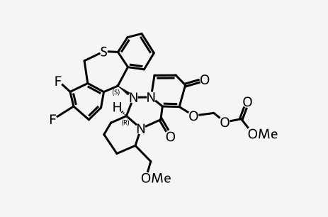 COCC1CCC[C@@H]2N1C(=O)c1c(OCOC(=O)OC)c(=O)ccn1N2[C@@H]1c2ccccc2SCc2c1ccc(F)c2F